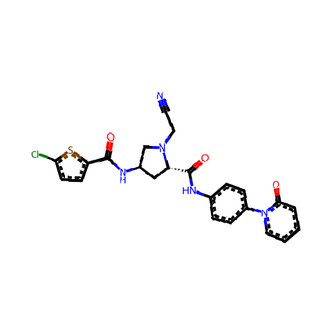 N#CCN1CC(NC(=O)c2ccc(Cl)s2)C[C@H]1C(=O)Nc1ccc(-n2ccccc2=O)cc1